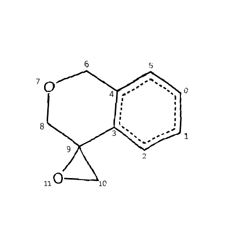 c1ccc2c(c1)COCC21CO1